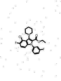 CCOC(=O)c1c(N2CCCCC2)c2c(Cl)c(F)ccc2n1-c1cccc(F)c1